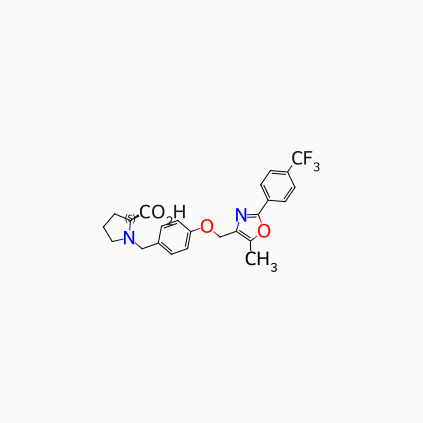 Cc1oc(-c2ccc(C(F)(F)F)cc2)nc1COc1ccc(CN2CCC[C@H]2C(=O)O)cc1